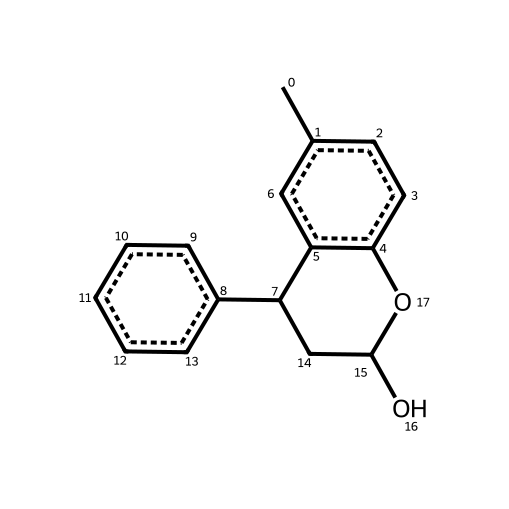 Cc1ccc2c(c1)C(c1ccccc1)CC(O)O2